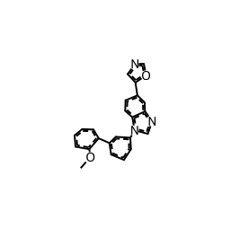 COc1ccccc1-c1cccc(-n2cnc3cc(-c4cnco4)ccc32)c1